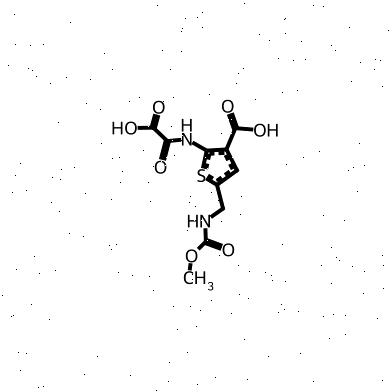 COC(=O)NCc1cc(C(=O)O)c(NC(=O)C(=O)O)s1